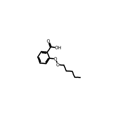 CCCCCOOc1ccccc1C(=O)O